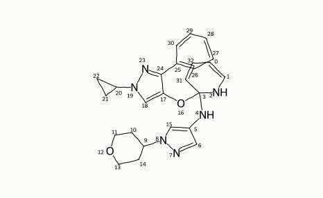 C1=CNC(Nc2cnn(C3CCOCC3)c2)(Oc2cn(C3CC3)nc2-c2ccccc2)C=C1